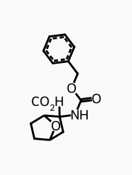 O=C(NC1(C(=O)O)CC2CCC1O2)OCc1ccccc1